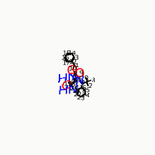 CC(C)(C)C1=N[C@H](NC(=O)OCc2ccccc2)C(=O)Nc2ccccc21